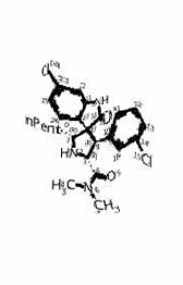 CCCCC[C@H]1N[C@@H](C(=O)N(C)C)[C@H](c2cccc(Cl)c2)[C@@]12C(=O)Nc1cc(Cl)ccc12